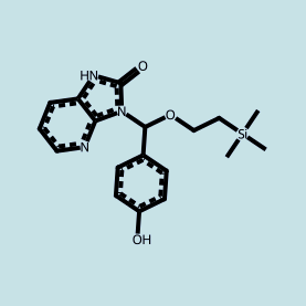 C[Si](C)(C)CCOC(c1ccc(O)cc1)n1c(=O)[nH]c2cccnc21